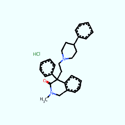 CN1Cc2ccccc2C(CCN2CCC(c3ccccc3)CC2)(c2ccccc2)C1=O.Cl